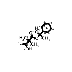 CC(C)(C(=O)O)C(=O)OC(C)(C)C1CC2CCC1CC2